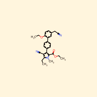 CCOC(=O)c1c(-c2ccc(-c3cc(CC#N)ccc3OCC)cc2)c(C#N)c(CC)n1C